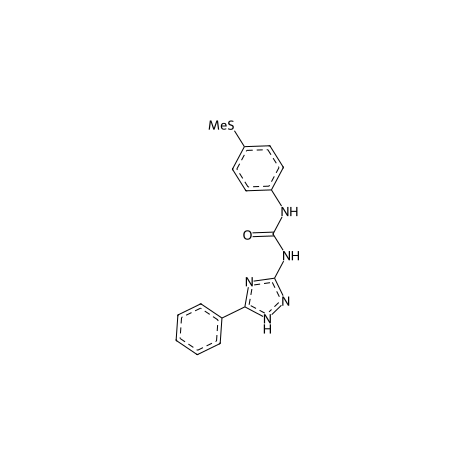 CSc1ccc(NC(=O)Nc2n[nH]c(-c3ccccc3)n2)cc1